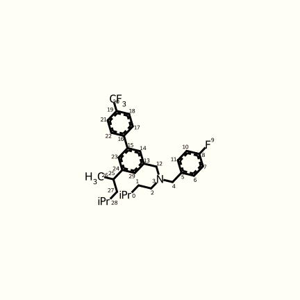 CC(C)CCN(Cc1ccc(F)cc1)Cc1cc(-c2ccc(C(F)(F)F)cc2)cc(C(C)CC(C)C)c1